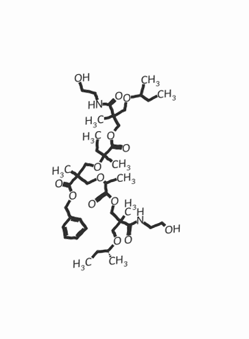 CCC(C)OCC(C)(COC(=O)C(C)(CC)OCC(C)(COC(C)C(=O)OCC(C)(CO[C@H](C)CC)C(=O)NCCO)C(=O)OCc1ccccc1)C(=O)NCCO